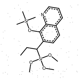 CCC(c1ccc2cccnc2c1O[Si](C)(C)C)[Si](OC)(OC)OC